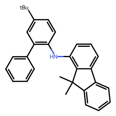 CC(C)(C)c1ccc(Nc2cccc3c2C(C)(C)c2ccccc2-3)c(-c2ccccc2)c1